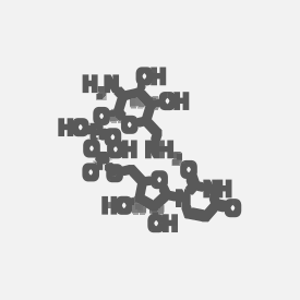 NCC1O[C@H](OP(=O)(O)OP(=O)(O)OCC2OC(n3ccc(=O)[nH]c3=O)[C@H](O)[C@@H]2O)C(N)[C@@H](O)[C@H]1O